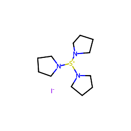 C1CCN([S+](N2CCCC2)N2CCCC2)C1.[I-]